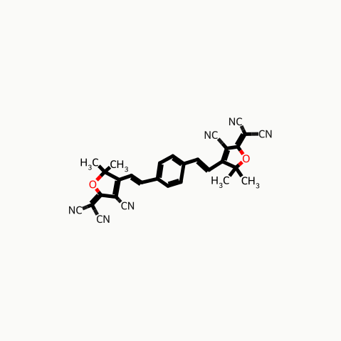 CC1(C)OC(=C(C#N)C#N)C(C#N)=C1/C=C/c1ccc(/C=C/C2=C(C#N)C(=C(C#N)C#N)OC2(C)C)cc1